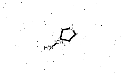 C1CCOC1.CN